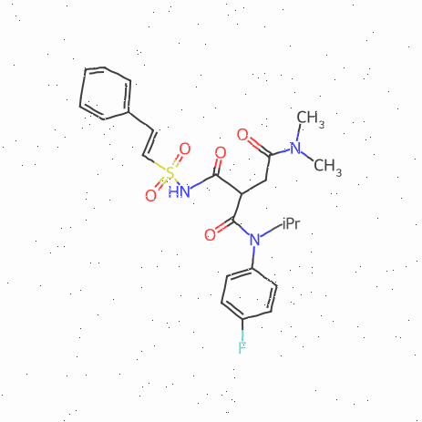 CC(C)N(C(=O)C(CC(=O)N(C)C)C(=O)NS(=O)(=O)C=Cc1ccccc1)c1ccc(F)cc1